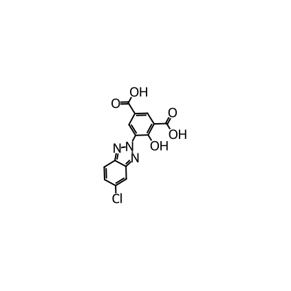 O=C(O)c1cc(C(=O)O)c(O)c(-n2nc3ccc(Cl)cc3n2)c1